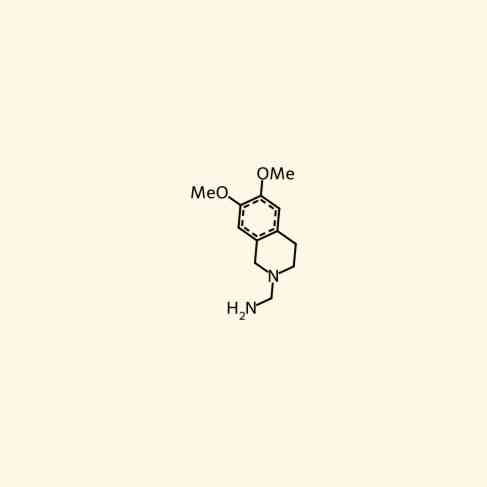 COc1cc2c(cc1OC)CN(CN)CC2